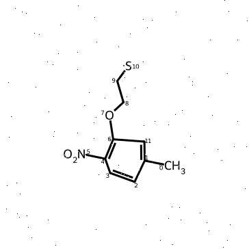 Cc1ccc([N+](=O)[O-])c(OCC[S])c1